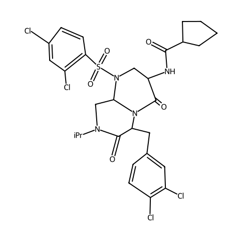 CC(C)N1CC2N(C(=O)C(NC(=O)C3CCCC3)CN2S(=O)(=O)c2ccc(Cl)cc2Cl)C(Cc2ccc(Cl)c(Cl)c2)C1=O